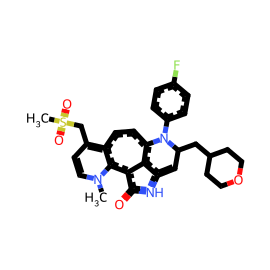 CN1C=CC(CS(C)(=O)=O)=c2ccc3c4c([nH]c(=O)c-4c21)=CC(CC1CCOCC1)N3c1ccc(F)cc1